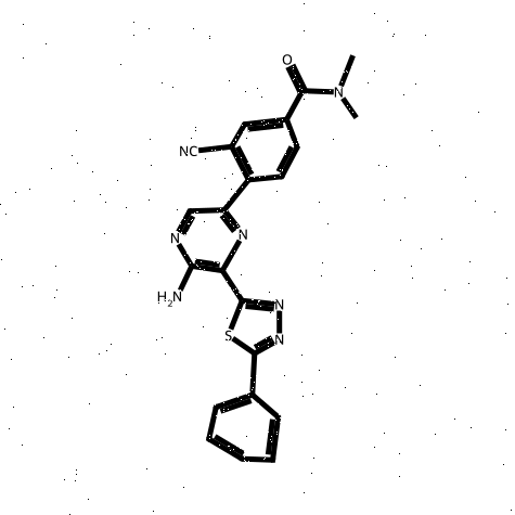 CN(C)C(=O)c1ccc(-c2cnc(N)c(-c3nnc(-c4ccccc4)s3)n2)c(C#N)c1